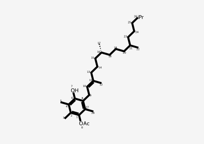 CC(=O)Oc1c(C)c(C)c(O)c(C/C=C(\C)CCC[C@H](C)CCCC(C)CCCC(C)C)c1C